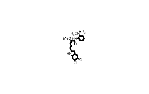 COC(=CC=Cc1cc2cc(Cl)c(Cl)cc2[nH]1)C(=O)Nc1ccccc1N(C)C